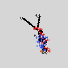 CCCCCCCCCCCCCCCC(=O)OCC(COC12CCC(NC(C)C(=O)NC(Cc3cnc[nH]3)C(=O)NC(CCCNC(=N)N)C(=O)NC(CCC(=O)O)C(=O)NC(NC(=N)N)C(=O)NC(CC[S+](C)[O-])C(=O)NC(CO)C(=O)O)(CC1)C(O)CCCC2O)OC(=O)CCCCCCCCCCCC